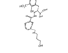 O=C(NC[C@@H](Cc1cccc(C(=O)O)c1O)B(O)O)c1cccc(CNCCCO)c1